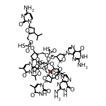 Cc1cn([C@H]2CC(OP(=O)(S)OC[C@H]3O[C@@H](n4ccc(N)nc4=O)CC3C(C)C)[C@@H](COP(=O)(S)OC3C[C@H](n4cnc5c(=O)[nH]c(N)nc54)O[C@@H]3COP(=S)(S)OC3C[C@H](n4cc(C)c(=O)[nH]c4=O)O[C@@H]3COP(=O)(S)OC3C[C@H](n4cnc5c(=O)[nH]c(N)nc54)O[C@@H]3COP(=O)(S)OC(C)C)O2)c(=O)[nH]c1=O